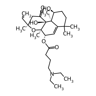 C=C[C@@]1(C)CC(=O)[C@@]2(O)[C@](C)(O1)[C@@H](OC(=O)CCCN(CC)CC)C=C1C(C)(C)CC[C@H](O)[C@@]12C